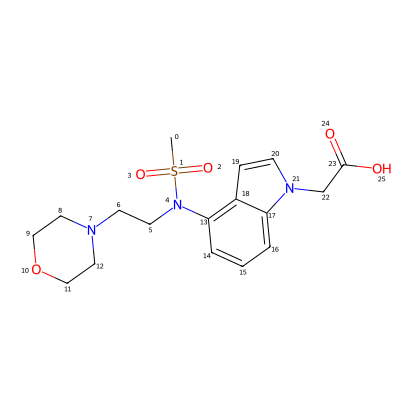 CS(=O)(=O)N(CCN1CCOCC1)c1cccc2c1ccn2CC(=O)O